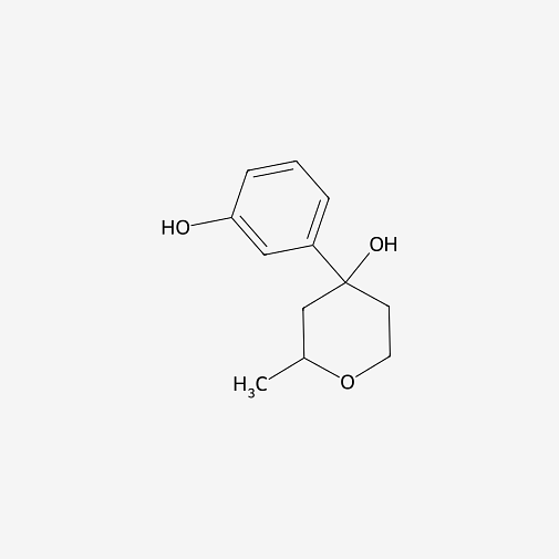 CC1CC(O)(c2cccc(O)c2)CCO1